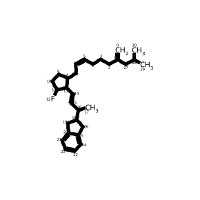 C=C(CCC/C=C\CC1CCC(F)C1/C=C/C(C)C1Cc2ccccc2C1)CC(C)C